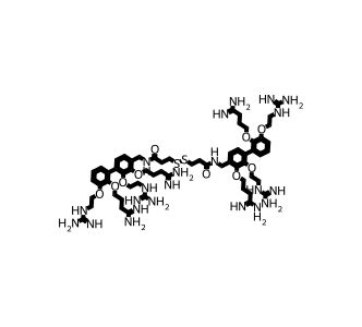 N=C(N)CCCOc1c(OCCNC(=N)N)cccc1-c1ccc(CNC(=O)CCSSCCC(=O)NCc2ccc(-c3cccc(OCCNC(=N)N)c3OCCCC(=N)N)c(OCCNC(=N)N)c2OCCCC(=N)N)c(OCCCC(=N)N)c1OCCNC(=N)N